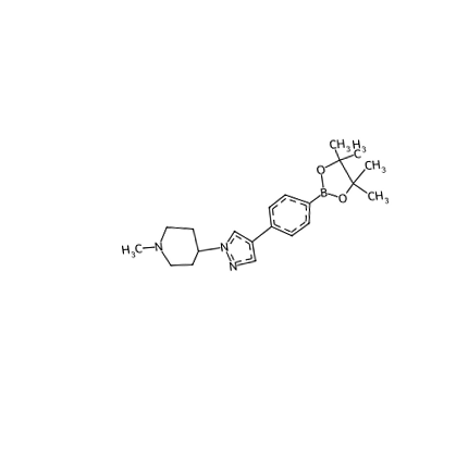 CN1CCC(n2cc(-c3ccc(B4OC(C)(C)C(C)(C)O4)cc3)cn2)CC1